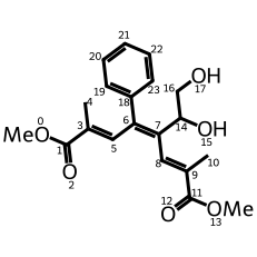 COC(=O)C(C)=CC(=C(C=C(C)C(=O)OC)C(O)CO)c1ccccc1